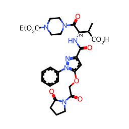 CCOC(=O)N1CCN(C(=O)[C@@H](NC(=O)c2cc(OCC(=O)N3CCCC3=O)n(-c3ccccc3)n2)C(C)C(=O)O)CC1